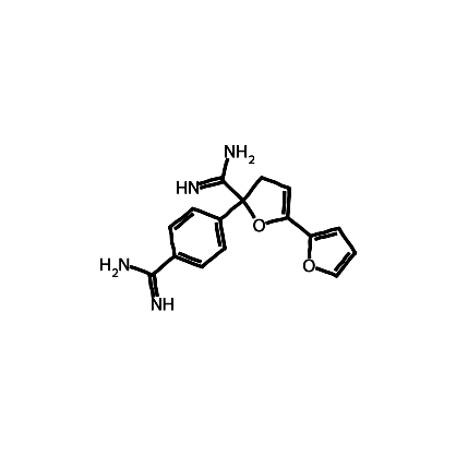 N=C(N)c1ccc(C2(C(=N)N)CC=C(c3ccco3)O2)cc1